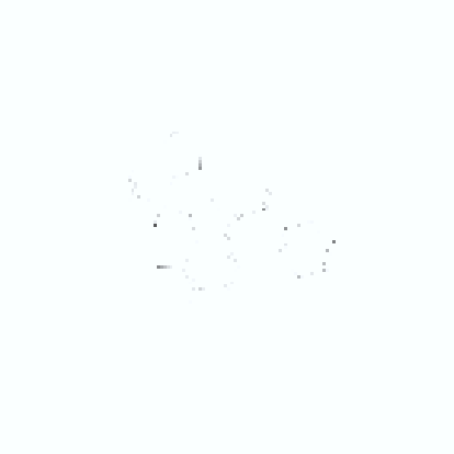 Cc1c([C@](C)(C(=O)O)C2CCCC2)c2c(F)c(O)ccc2n1C(=O)c1ccc(Cl)cc1